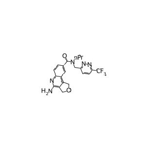 CCCN(Cc1ccc(C(F)(F)F)nn1)C(=O)c1ccc2nc(N)c3c(c2c1)COC3